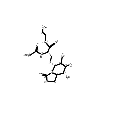 CCCCCCCCCCCCNC(=O)[C@H](CS[C@@H]1C(O)C(O)[C@H](O)C2COC(=O)N21)NC(=O)CCCCCCC